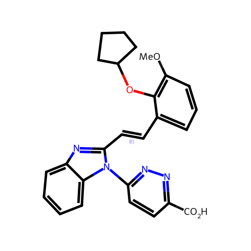 COc1cccc(/C=C/c2nc3ccccc3n2-c2ccc(C(=O)O)nn2)c1OC1CCCC1